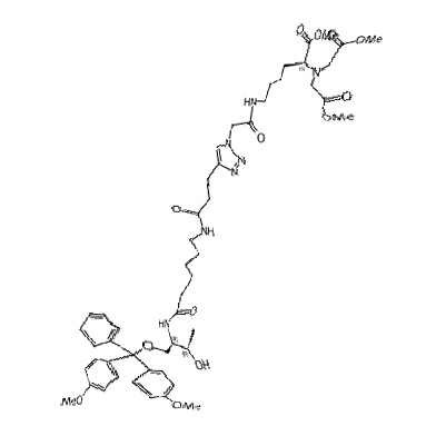 COC(=O)CN(CC(=O)OC)[C@@H](CCCCNC(=O)Cn1cc(CCC(=O)NCCCCCC(=O)N[C@H](COC(c2ccccc2)(c2ccc(OC)cc2)c2ccc(OC)cc2)[C@@H](C)O)nn1)C(=O)OC